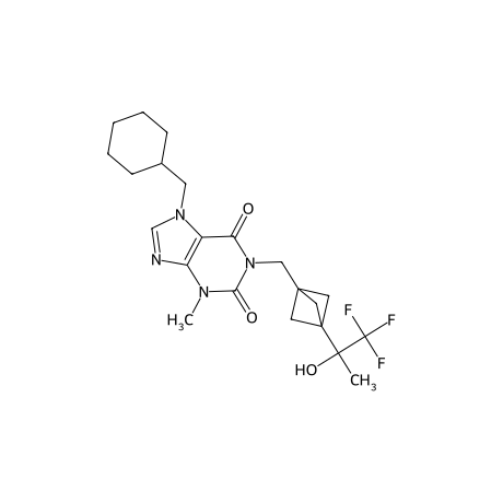 Cn1c(=O)n(CC23CC(C(C)(O)C(F)(F)F)(C2)C3)c(=O)c2c1ncn2CC1CCCCC1